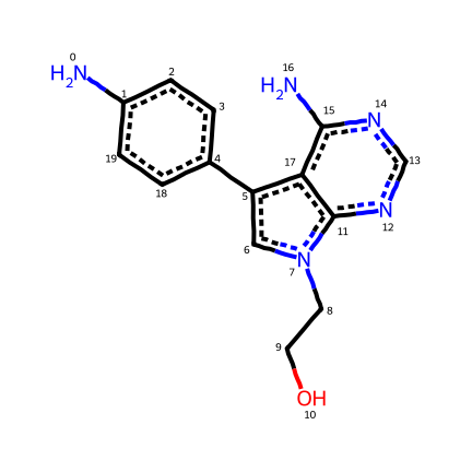 Nc1ccc(-c2cn(CCO)c3ncnc(N)c23)cc1